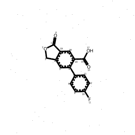 O=C1OCc2cc(-c3ccc(F)cc3)c(C(=O)O)cc21